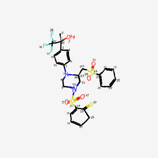 C[C@@](O)(c1ccc(N2CCN(S(=O)(=O)C3=CC=CCC3=S)C[C@@H]2CS(=O)(=O)c2ccccc2)cc1)C(F)(F)F